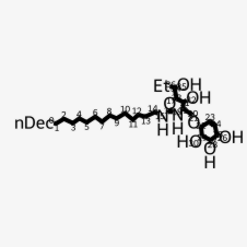 CCCCCCCCCCCCCCCCCCCCCCCCNC(=O)NC(COC1C=CC(O)C(O)C1O)C(O)CC(O)CC